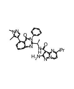 Cc1c(-c2cccc3nc([C@@H](C)NC(=O)c4c(N)nn5ccc(C(C)C)nc45)n(-c4ccccc4)c(=O)c23)cnn1C